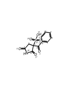 O=C1CC(C(=O)c2ccccc2)(S(=O)(=O)O)C(=O)N1